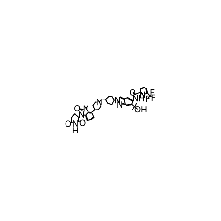 Cn1c(=O)n(C2CCC(=O)NC2=O)c2cccc(C3CCN(C[C@H]4CC[C@H](n5cc6cc(NC(=O)c7cccc(C(F)(F)F)n7)c(C(C)(C)O)cc6n5)CC4)CC3)c21